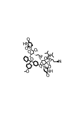 COc1ccc(C(OC[C@H]2O[C@@H](n3ccc(=O)[nH]c3=O)[C@H](OC)[C@@H]2CCN(C)C[C@H]2O[C@@H](n3ccc(=O)[nH]c3=O)[C@H](OC)[C@@H]2OP(OCCC#N)N(C(C)C)C(C)C)(c2ccccc2)c2ccc(OC)cc2)cc1